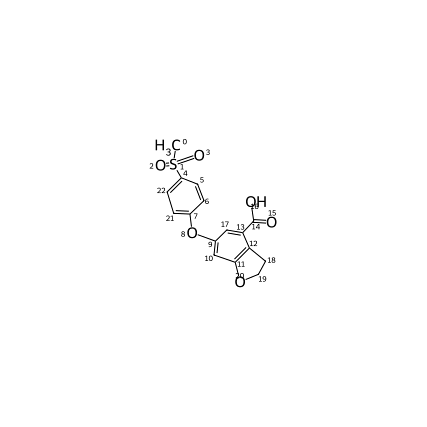 CS(=O)(=O)c1ccc(Oc2cc3c(c(C(=O)O)c2)CCO3)cc1